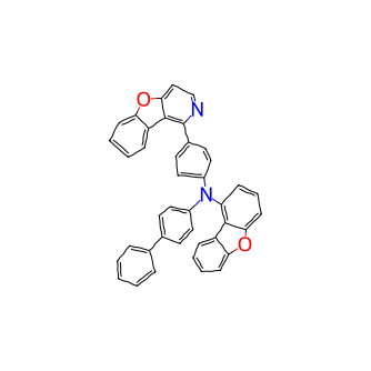 c1ccc(-c2ccc(N(c3ccc(-c4nccc5oc6ccccc6c45)cc3)c3cccc4oc5ccccc5c34)cc2)cc1